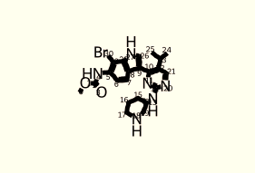 COC(=O)Nc1ccc2c(-c3nc(N[C@H]4CCCNC4)ncc3C(C)C)c[nH]c2c1Br